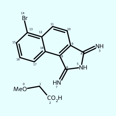 COCC(=O)O.N=C1NC(=N)c2c1ccc1c(Br)cccc21